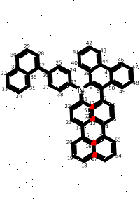 c1ccc(-c2ccc(-c3c(N(c4ccc(-c5ccccc5)cc4)c4ccc(-c5cccc6ccccc56)cc4)c4ccccc4c4ccccc34)cc2)cc1